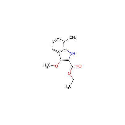 CCOC(=O)c1[nH]c2c(C)cccc2c1OC